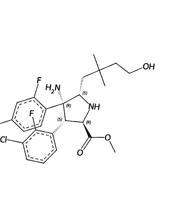 COC(=O)[C@@H]1N[C@@H](CC(C)(C)CCO)[C@](N)(c2ccc(Cl)cc2F)[C@H]1c1cccc(Cl)c1F